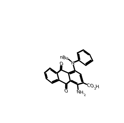 CCCCN(c1ccccc1)c1cc(C(=O)O)c(N)c2c1C(=O)c1ccccc1C2=O